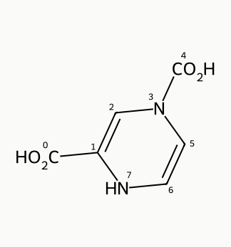 O=C(O)C1=CN(C(=O)O)C=CN1